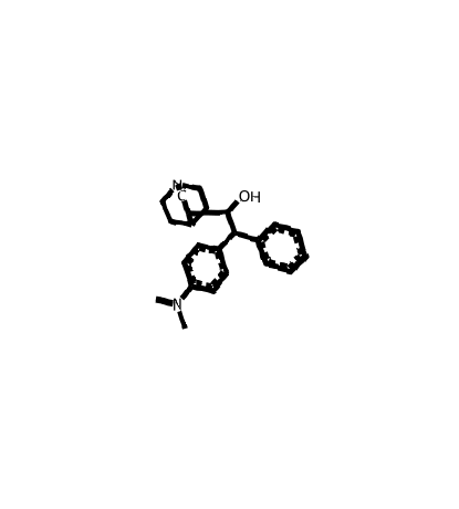 CN(C)c1ccc(C(c2ccccc2)C(O)C2CN3CCC2CC3)cc1